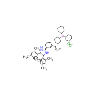 C1CCC(P(C2CCCCC2)C2CCCCC2)CC1.Cc1cc(C)c(C2NC(=C3C=C([CH]=[Ru+2])C=CC3)NC2c2c(C)cc(C)cc2C)c(C)c1.[Cl-].[Cl-]